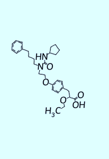 CCOC(Cc1ccc(OCCN(CCCCc2ccccc2)C(=O)NC2CCCC2)cc1)C(=O)O